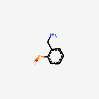 NCc1ccccc1P=O